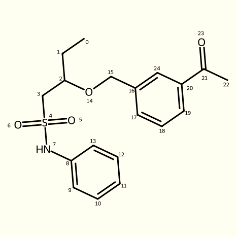 CCC(CS(=O)(=O)Nc1ccccc1)OCc1cccc(C(C)=O)c1